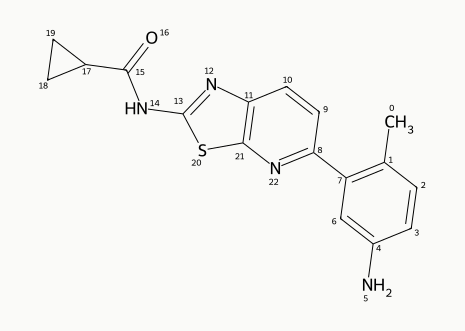 Cc1ccc(N)cc1-c1ccc2nc(NC(=O)C3CC3)sc2n1